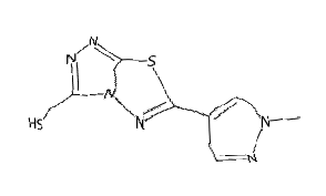 Cn1cc(-c2nn3c(S)nnc3s2)cn1